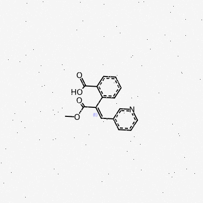 COC(=O)/C(=C/c1cccnc1)c1ccccc1C(=O)O